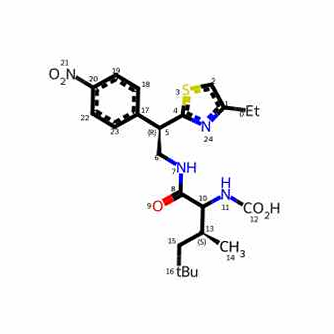 CCc1csc([C@@H](CNC(=O)C(NC(=O)O)[C@@H](C)CC(C)(C)C)c2ccc([N+](=O)[O-])cc2)n1